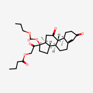 CCCOC(=O)O[C@]1(C(=O)COC(=O)CCC)CC[C@H]2[C@@H]3CCC4=CC(=O)CC[C@]4(C)[C@H]3C(=O)C[C@@]21C